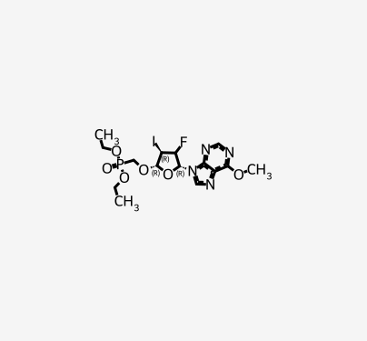 CCOP(=O)(CO[C@H]1O[C@@H](n2cnc3c(OC)ncnc32)C(F)[C@@H]1I)OCC